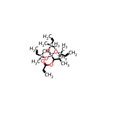 C=CC(=O)OC(CC)[Si](O[Si](C)(C)C=C)(O[Si](C)(C)C=C)O[Si](C)(C)C=C